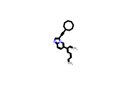 C=C/C=C\C=C(/C=C)c1ccc2ncc(C#CC3CCCCCCC3)n2c1